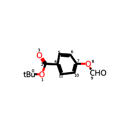 CC(C)(C)OC(=O)c1ccc(OC=O)cc1